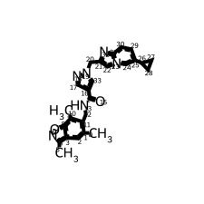 Cc1cc2c(C)noc2c(C)c1CNC(=O)c1cnn(Cc2cn3cc(C4CC4)ccc3n2)c1